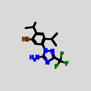 CC(C)c1cc(C(C)C)c(-n2nc(C(F)(F)F)nc2N)cc1S